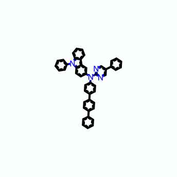 c1ccc(-c2ccc(-c3ccc(N(c4ccc5c(c4)c4ccccc4n5-c4ccccc4)c4ncc(-c5ccccc5)cn4)cc3)cc2)cc1